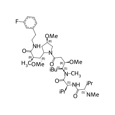 CC[C@H](C)[C@@H]([C@@H](CC(=O)N1C[C@H](OC)CC1[C@H](OC)[C@@H](C)C(=O)NCCc1cccc(F)c1)OC)N(C)C(=O)[C@@H](NC(=O)[C@@H](NC)C(C)C)C(C)C